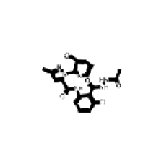 CC(=O)NNC(=O)c1c(Cl)cccc1NC(=O)c1cc(C)nn1-c1ncccc1Cl